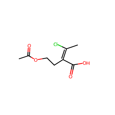 CC(=O)OCCC(C(=O)O)=C(C)Cl